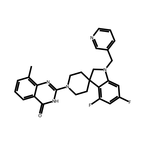 Cc1cccc2c(=O)[nH]c(N3CCC4(CC3)CN(Cc3cccnc3)c3cc(F)cc(F)c34)nc12